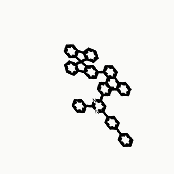 c1ccc(-c2ccc(-c3cc(-c4ccc5c(c4)c4ccccc4c4cccc(-c6ccc7c(c6)C6(c8ccccc8-c8ccccc86)c6ccccc6-7)c45)nc(-c4ccccc4)n3)cc2)cc1